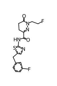 O=C(Nc1ncc(Cc2cccc(F)c2)s1)C1=NN(CCF)C(=O)CC1